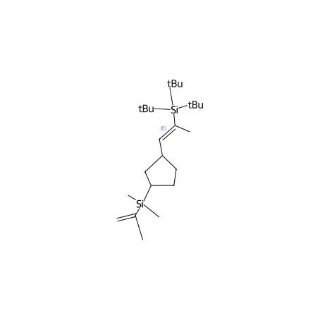 C=C(C)[Si](C)(C)C1CCC(/C=C(\C)[Si](C(C)(C)C)(C(C)(C)C)C(C)(C)C)C1